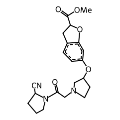 COC(=O)C1Cc2ccc(OC3CCN(CC(=O)N4CCCC4C#N)C3)cc2O1